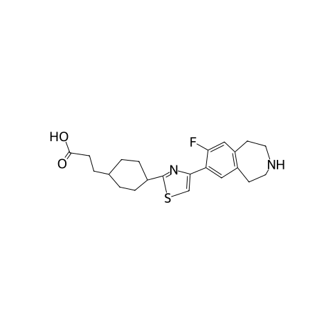 O=C(O)CCC1CCC(c2nc(-c3cc4c(cc3F)CCNCC4)cs2)CC1